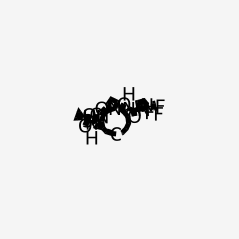 O=C(N[C@H]1CCCCC/C=C\C2C[C@@]2(C(=O)NS(=O)(=O)C2CC2)NC(=O)C2CCCN2C1=O)c1ccn(CC(F)(F)F)n1